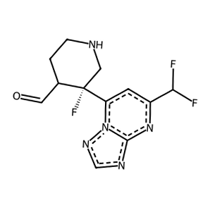 O=CC1CCNC[C@@]1(F)c1cc(C(F)F)nc2ncnn12